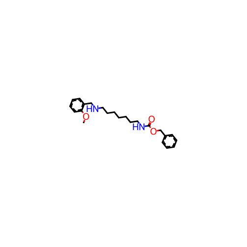 COc1ccccc1CNCCCCCCCNC(=O)OCc1ccccc1